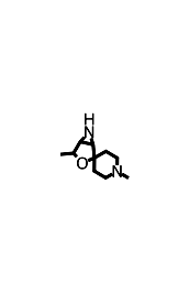 CC1OC2(CCN(C)CC2)C2NC12